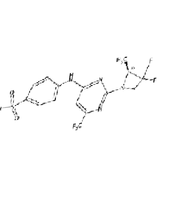 CNS(=O)(=O)c1ccc(Nc2cc(C(F)(F)F)nc(N3CC(F)(F)[C@@H]3C)n2)cc1